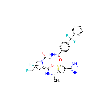 CC(NC(=O)[C@@H]1C[C@](F)(CF)CN1C(=O)CNC(=O)c1ccc(C(F)(F)c2ccccc2)cc1)c1cc(C(=N)N)cs1